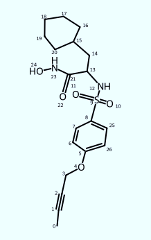 CC#CCOc1ccc(S(=O)(=O)NC(CC2CCCCC2)C(=O)NO)cc1